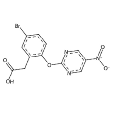 O=C(O)Cc1cc(Br)ccc1Oc1ncc([N+](=O)[O-])cn1